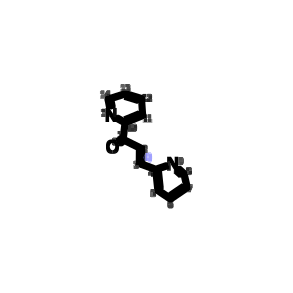 O=C(/C=C/c1ccccn1)c1ccccn1